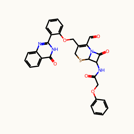 O=CC1=C(COc2ccccc2-c2nc3ccccc3c(=O)[nH]2)CSC2C(NC(=O)COc3ccccc3)C(=O)N12